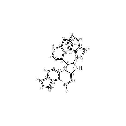 CN=S=C1NC(n2nnc3ccccc32)C(c2ccnc3ccccc23)N1c1ccc2nc[nH]c2c1